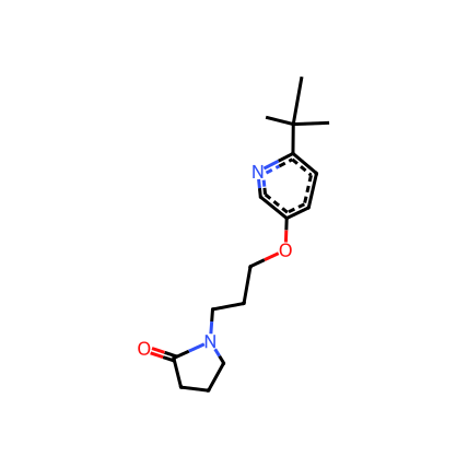 CC(C)(C)c1ccc(OCCCN2CCCC2=O)cn1